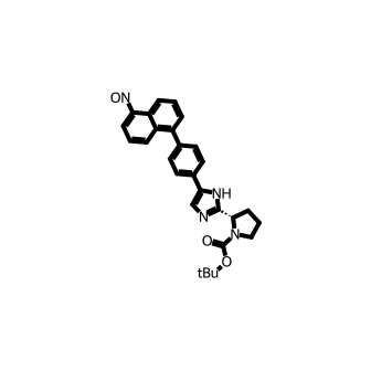 CC(C)(C)OC(=O)N1CCC[C@H]1c1ncc(-c2ccc(-c3cccc4c(N=O)cccc34)cc2)[nH]1